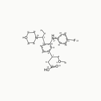 CCC(c1ccc(C(COC)CC(=O)O)cc1Nc1ccc(F)cc1)N1CCOCC1